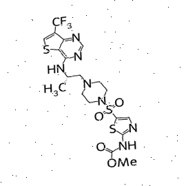 COC(=O)Nc1ncc(S(=O)(=O)N2CCN(C[C@H](C)Nc3ncnc4c(C(F)(F)F)csc34)CC2)s1